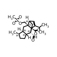 CC(C)C1=C[C@H]2C[C@@]3(C=O)[C@@H]4CC[C@@H](C)[C@H]4C[C@@]2(COS(C)(=O)=O)[C@]13C(=O)O